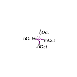 CCCCCCCC[P](CCCCCCCC)(CCCCCCCC)CCCCCCCC